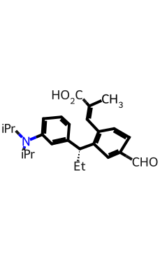 CC[C@H](c1cccc(N(C(C)C)C(C)C)c1)c1cc(C=O)ccc1/C=C(\C)C(=O)O